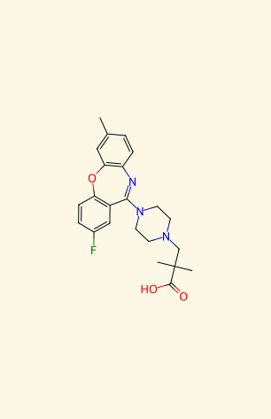 Cc1ccc2c(c1)Oc1ccc(F)cc1C(N1CCN(CC(C)(C)C(=O)O)CC1)=N2